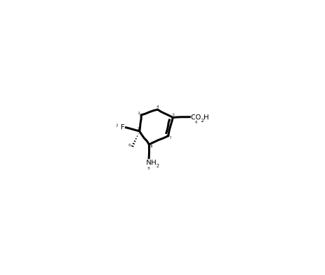 C[C@]1(F)CCC(C(=O)O)=CC1N